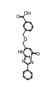 O=C(O)c1cccc(COCc2cc(=O)n3nc(-c4ccccc4)nc3[nH]2)c1